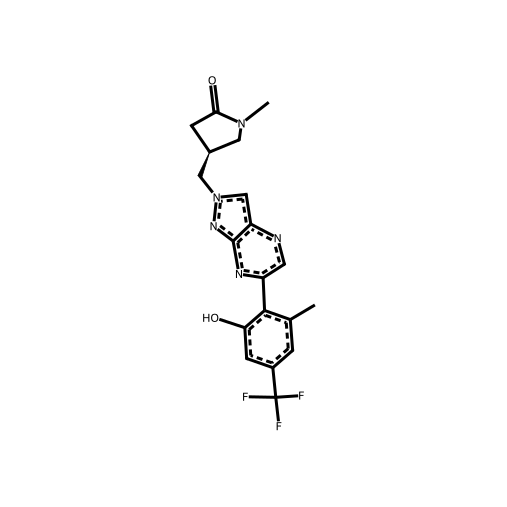 Cc1cc(C(F)(F)F)cc(O)c1-c1cnc2cn(C[C@H]3CC(=O)N(C)C3)nc2n1